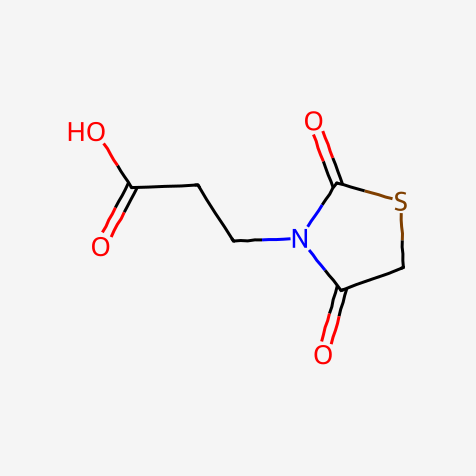 O=C(O)CCN1C(=O)CSC1=O